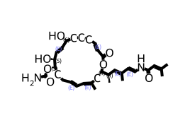 CC(C)=CC(=O)N/C=C/C(C)=C/[C@@H](C)[C@H]1C/C(C)=C/C=C/CC[C@H](OC(N)=O)[C@@H](O)/C=C/[C@@H](O)CCC/C=C/C(=O)O1